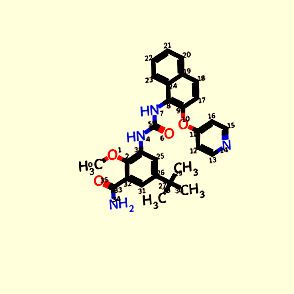 COc1c(NC(=O)Nc2c(Oc3ccncc3)ccc3ccccc23)cc(C(C)(C)C)cc1C(N)=O